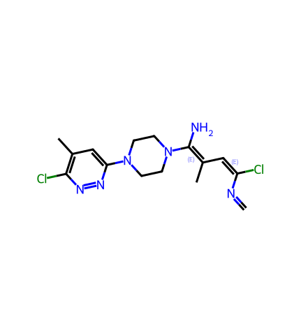 C=N/C(Cl)=C\C(C)=C(/N)N1CCN(c2cc(C)c(Cl)nn2)CC1